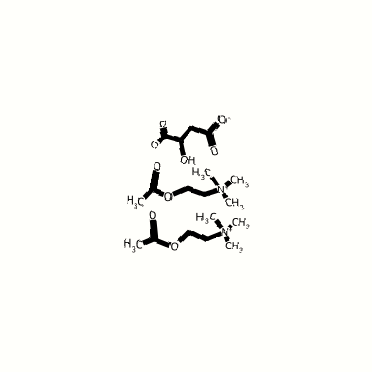 CC(=O)OCC[N+](C)(C)C.CC(=O)OCC[N+](C)(C)C.O=C([O-])CC(O)C(=O)[O-]